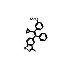 COc1cccc(/C(=C(\c2[c]cccc2)c2ccc3[nH]nc(F)c3c2)C2CC2)c1